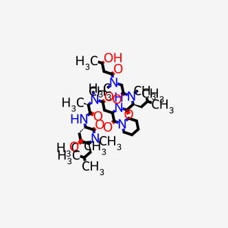 CC(C)C[C@H](NC(=O)[C@H](C)N(C)C(=O)CC(NC(=O)[C@H](CC(C)C)N(C)C(=O)CN(C)C(=O)CC(C)O)C(=O)N1CCCCC1)C(=O)N(C)[C@H](C=O)CC(C)C